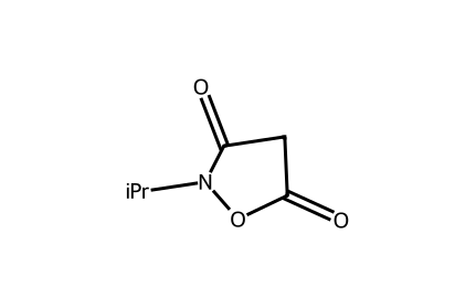 CC(C)N1OC(=O)CC1=O